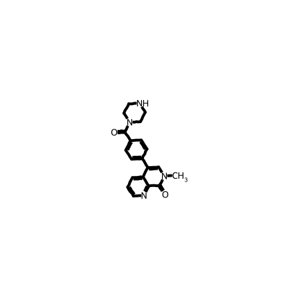 Cn1cc(-c2ccc(C(=O)N3CCNCC3)cc2)c2cccnc2c1=O